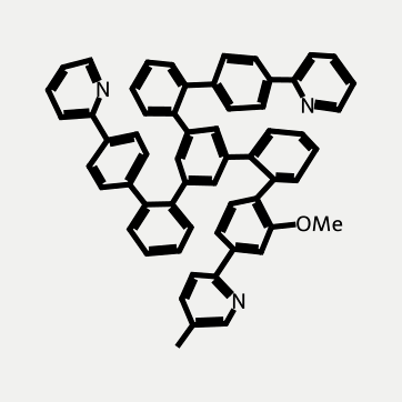 COc1cc(-c2ccc(C)cn2)ccc1-c1ccccc1-c1cc(-c2ccccc2-c2ccc(-c3ccccn3)cc2)cc(-c2ccccc2-c2ccc(-c3ccccn3)cc2)c1